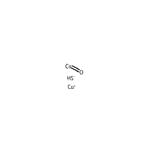 [Cu+].[O]=[Cu].[SH-]